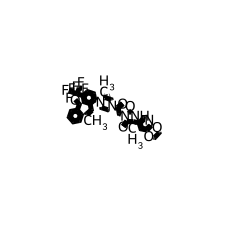 CC=Cc1cc(C(OCc2ccccc2)(C(F)(F)F)C(F)(F)F)ccc1N1CCN(C(=O)CN2C(=O)NC(C)(c3cnc4c(c3)OCCO4)C2=O)C[C@@H]1C